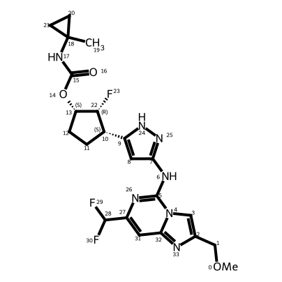 COCc1cn2c(Nc3cc([C@@H]4CC[C@H](OC(=O)NC5(C)CC5)[C@@H]4F)[nH]n3)nc(C(F)F)cc2n1